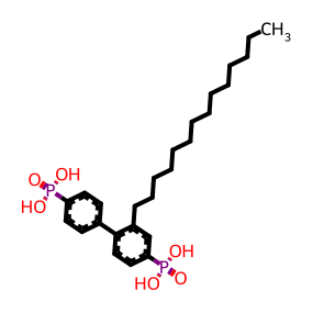 CCCCCCCCCCCCCCc1cc(P(=O)(O)O)ccc1-c1ccc(P(=O)(O)O)cc1